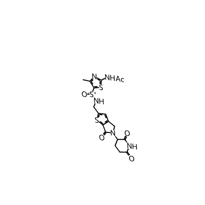 CC(=O)Nc1nc(C)c([S+]([O-])NCc2cc3c(s2)C(=O)N(C2CCC(=O)NC2=O)C3)s1